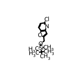 CC(C)(C)[Si](C)(C)OCc1cc2nc(Cl)ccc2o1